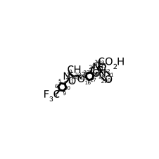 Cc1nc(-c2ccc(C(F)(F)F)cc2)oc1COc1cccc(CN(CC(=O)O)S(=O)(=O)N2CCOCC2)c1